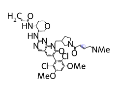 C=CC(=O)NC1CCOCC1Nc1ncc2cc(-c3c(Cl)c(OC)cc(OC)c3Cl)c(=O)n(CC3CCN(C(=O)/C=C/CNC)C3)c2n1